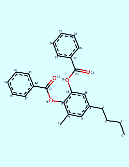 CCCCc1cc(C)c(OC(=O)c2ccccc2)c(OC(=O)c2ccccc2)c1